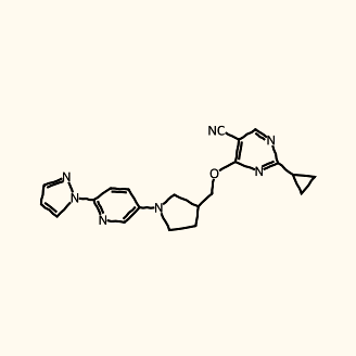 N#Cc1cnc(C2CC2)nc1OCC1CCN(c2ccc(-n3cccn3)nc2)C1